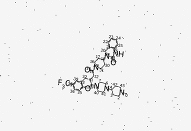 CN1CCC(N2CCN(C(=O)C(CC(=O)N3CCC(N4Cc5ccccc5NC4=O)CC3)Cc3cccc(C(F)(F)F)c3)CC2)CC1